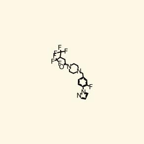 O=C(CC(C(F)(F)F)C(F)(F)F)N1CCN(Cc2ccc(-n3cccn3)c(F)c2)CC1